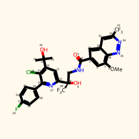 COc1cc(C(=O)NC[C@](O)(c2cc(C(C)(C)O)c(Cl)c(-c3ccc(F)cc3)n2)C(F)(F)F)cc2cc(C(F)(F)F)nnc12